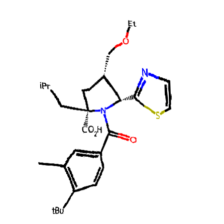 CCOC[C@H]1C[C@@](CC(C)C)(C(=O)O)N(C(=O)c2ccc(C(C)(C)C)c(C)c2)[C@H]1c1nccs1